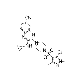 Cc1nn(C)c(Cl)c1S(=O)(=O)N1CCN(c2nc3cc(C#N)ccc3nc2NC2CC2)CC1